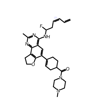 C=C/C=C\CC(F)Nc1nc(C)nc2c3c(c(C4=CCC(C(=O)N5CCN(C)CC5)CC4)cc12)OCC3